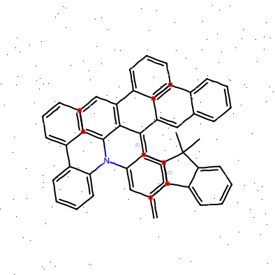 C=C/C=C\C=C(/c1ccc2ccccc2c1)c1c(-c2ccccc2)cccc1N(c1ccc2c(c1)C(C)(C)c1ccccc1-2)c1ccccc1-c1ccccc1